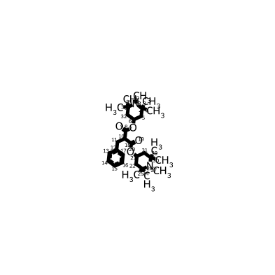 CN1C(C)(C)CC(OC(=O)C(Cc2ccccc2)C(=O)OC2CC(C)(C)N(C)C(C)(C)C2)CC1(C)C